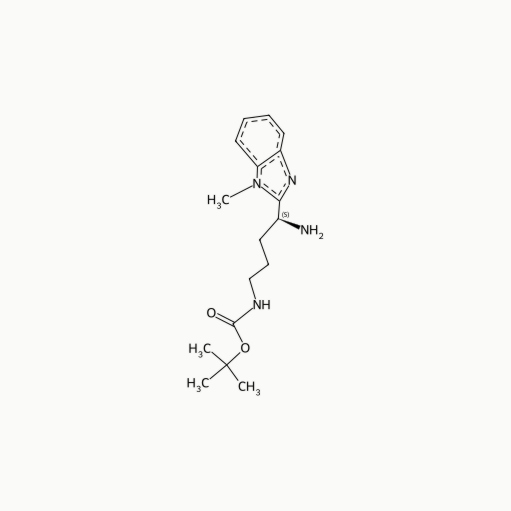 Cn1c([C@@H](N)CCCNC(=O)OC(C)(C)C)nc2ccccc21